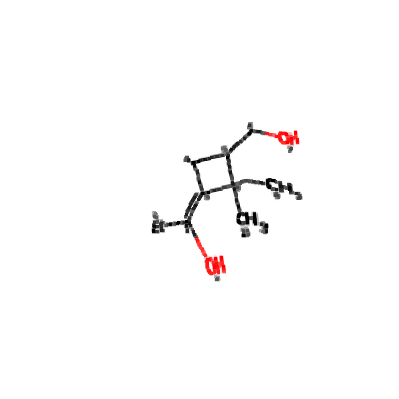 CCC(O)=C1CC(CO)C1(C)C